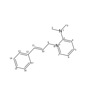 CN(C)c1cccc[n+]1CC=Cc1ccccc1